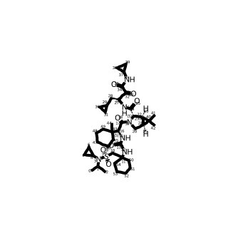 CC(C)N(C1CC1)S(=O)(=O)CC1(NC(=O)N[C@H](C(=O)N2C[C@H]3[C@@H]([C@H]2C(=O)N[C@@H](CC2CC2)C(=O)C(=O)NC2CC2)C3(C)C)C2(C)CCCCC2)CCCCC1